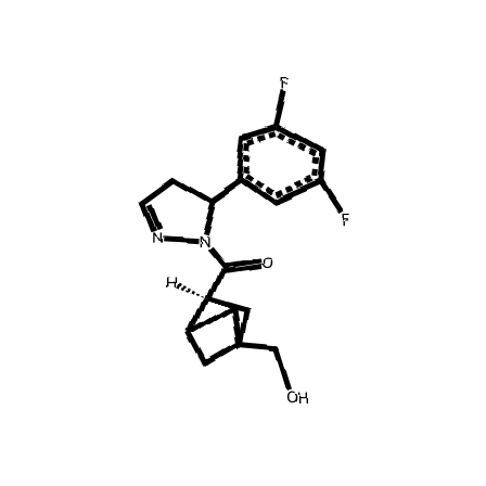 O=C([C@H]1CC2(CO)CC1C2)N1N=CCC1c1cc(F)cc(F)c1